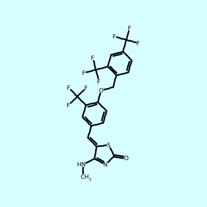 CNC1=NC(=O)S/C1=C\c1ccc(OCc2ccc(C(F)(F)F)cc2C(F)(F)F)c(C(F)(F)F)c1